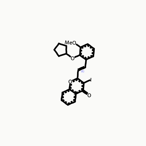 COc1cccc(/C=C/c2oc3ccccc3c(=O)c2I)c1OC1CCCC1